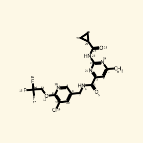 Cc1cc(C(=O)NCc2cnc(OCC(F)(F)F)c(Cl)c2)nc(NC(=O)C2CC2)n1